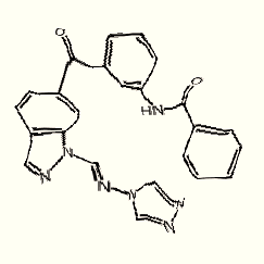 O=C(Nc1cccc(C(=O)c2ccc3cnn(C=Nn4cnnc4)c3c2)c1)c1ccccc1